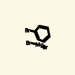 Brc1[c]cccc1.[Br][Mg][Br]